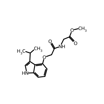 COC(=O)CNC(=O)COc1cccc2[nH]cc(C(C)C)c12